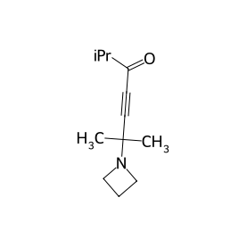 CC(C)C(=O)C#CC(C)(C)N1CCC1